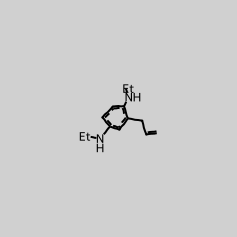 C=CCc1cc(NCC)ccc1NCC